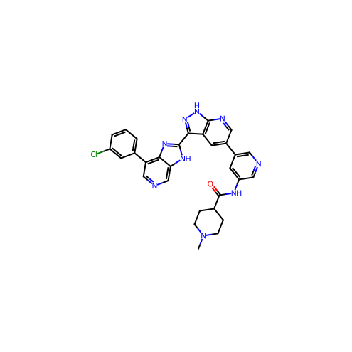 CN1CCC(C(=O)Nc2cncc(-c3cnc4[nH]nc(-c5nc6c(-c7cccc(Cl)c7)cncc6[nH]5)c4c3)c2)CC1